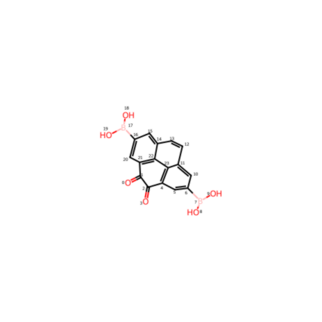 O=c1c(=O)c2cc(B(O)O)cc3ccc4cc(B(O)O)cc1c4c32